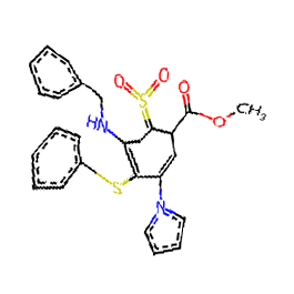 COC(=O)C1C=C(n2cccc2)C(Sc2ccccc2)=C(NCc2ccccc2)C1=S(=O)=O